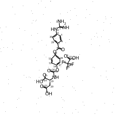 N=C(N)Nc1ccc(C(=O)Oc2ccc(OC(=O)N[C@@H](CC(=O)O)C(=O)O)cc2)cc1.O=C(O)C(F)(F)F